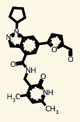 Cc1cc(C)c(CNC(=O)c2cc(-c3ccc(C=O)o3)cc3c2cnn3C2CCCC2)c(=O)[nH]1